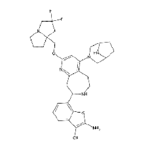 N#Cc1c(N)sc2c(C3Cc4nc(OCC56CCCN5CC(F)(F)C6)cc(N5CC6CCC(C5)N6)c4CCN3)cccc12